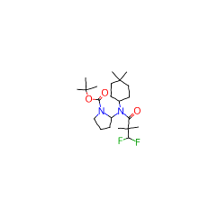 CC1(C)CCC(N(C(=O)C(C)(C)C(F)F)C2CCCN2C(=O)OC(C)(C)C)CC1